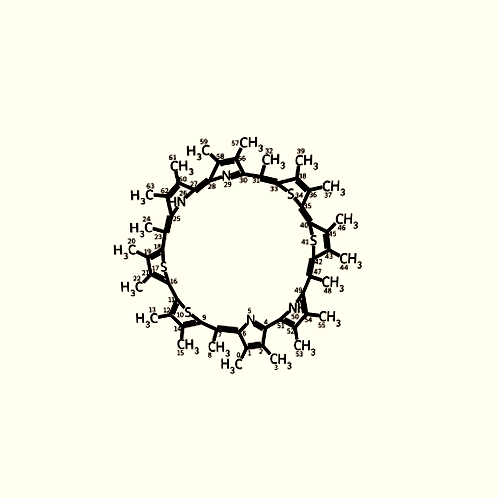 CC1=C(C)c2nc1c(C)c1sc(c(C)c1C)c1sc(c(C)c1C)c(C)c1[nH]c(c3nc(c(C)c4sc(c(C)c4C)c4sc(c(C)c4C)c(C)c4[nH]c2c(C)c4C)C(C)=C3C)c(C)c1C